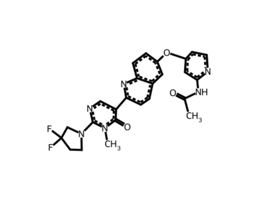 CC(=O)Nc1cc(Oc2ccc3nc(-c4cnc(N5CCC(F)(F)C5)n(C)c4=O)ccc3c2)ccn1